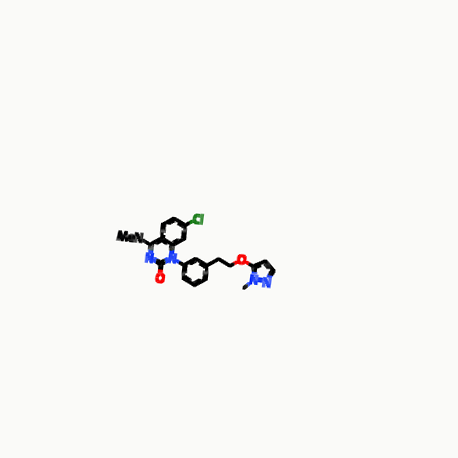 CNc1nc(=O)n(-c2cccc(CCOc3ccnn3C)c2)c2cc(Cl)ccc12